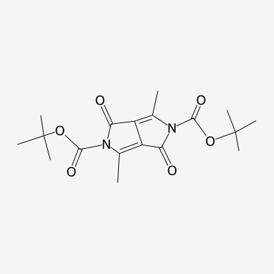 CC1=C2C(=O)N(C(=O)OC(C)(C)C)C(C)=C2C(=O)N1C(=O)OC(C)(C)C